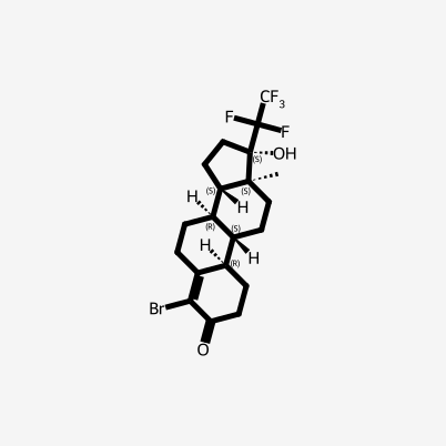 C[C@]12CC[C@H]3[C@@H](CCC4=C(Br)C(=O)CC[C@@H]43)[C@@H]1CC[C@@]2(O)C(F)(F)C(F)(F)F